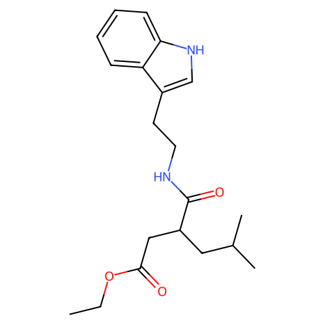 CCOC(=O)CC(CC(C)C)C(=O)NCCc1c[nH]c2ccccc12